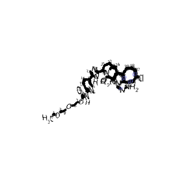 CCOCCOCCOC(=O)Nc1ccc(-c2cnc(C3CCc4cc(/C5=C(N(N)/C=N\N)/C=C\C(Cl)=C/CC5)cc(=O)n43)[nH]2)cn1